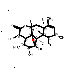 CC1=C[C@H](O)[C@@H](O)[C@]2(C)[C@H]3[C@@]4(O)OC[C@]35[C@H]([C@@H](C)[C@H]4O)[C@@H](O)C(=O)O[C@@H]5C[C@@H]12